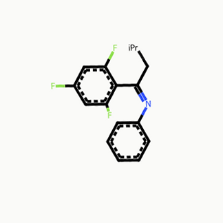 CC(C)C/C(=N/c1ccccc1)c1c(F)cc(F)cc1F